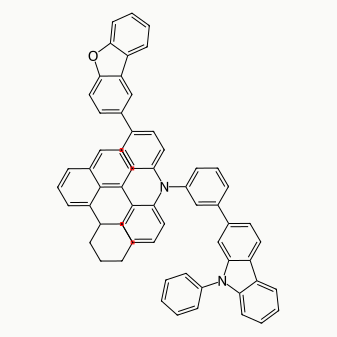 c1ccc(-n2c3ccccc3c3ccc(-c4cccc(N(c5ccc(-c6ccc7oc8ccccc8c7c6)cc5)c5ccccc5-c5cccc6cccc(C7CCCCC7)c56)c4)cc32)cc1